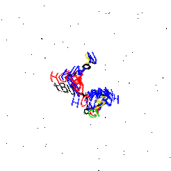 Cc1nc(Nc2ncc(C(=O)Nc3c(C)cccc3Cl)s2)cc(N2CCN(C(=O)CCCCC(=O)NC(C(=O)N3C[C@H](O)C[C@H]3C(=O)NCc3ccc(-c4scnc4C)cc3)C(C)(C)C)CC2)n1